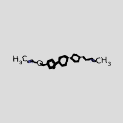 C/C=C/CC[C@H]1CC[C@H](C2CCC(c3ccc(COC/C=C/C)cc3)CC2)CC1